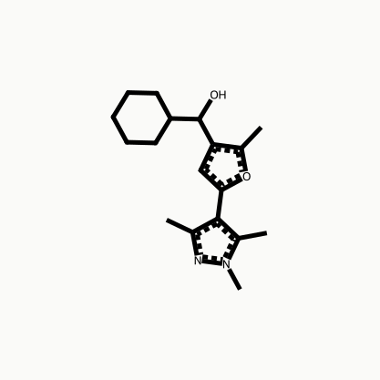 Cc1nn(C)c(C)c1-c1cc(C(O)C2CCCCC2)c(C)o1